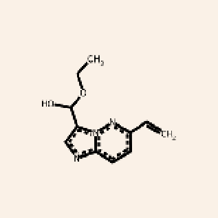 C=Cc1ccc2ncc(C(O)OCC)n2n1